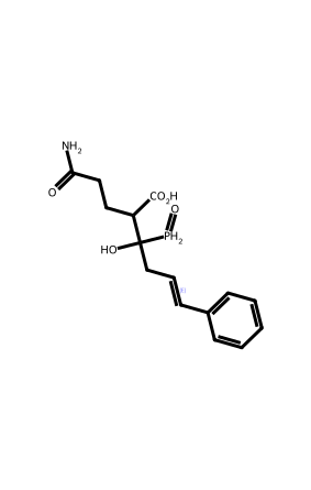 NC(=O)CCC(C(=O)O)C(O)(C/C=C/c1ccccc1)[PH2]=O